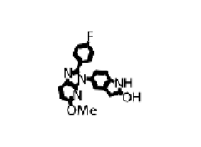 COc1ccc2nc(-c3ccc(F)cc3)n(-c3ccc4c(c3)CC(O)N4)c2n1